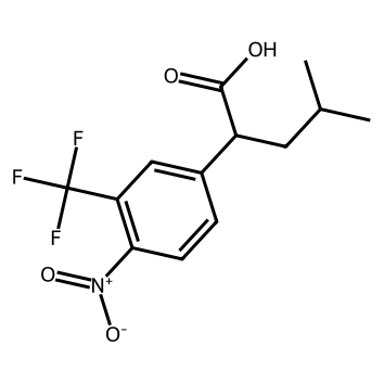 CC(C)CC(C(=O)O)c1ccc([N+](=O)[O-])c(C(F)(F)F)c1